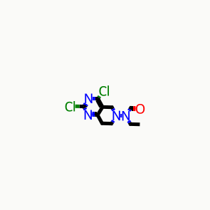 CCN(C=O)N1CCc2nc(Cl)nc(Cl)c2C1